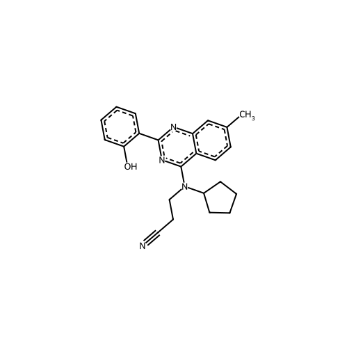 Cc1ccc2c(N(CCC#N)C3CCCC3)nc(-c3ccccc3O)nc2c1